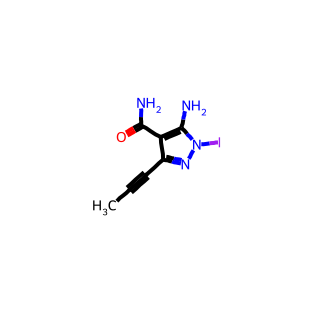 CC#Cc1nn(I)c(N)c1C(N)=O